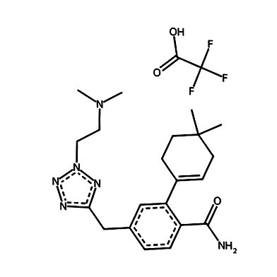 CN(C)CCn1nnc(Cc2ccc(C(N)=O)c(C3=CCC(C)(C)CC3)c2)n1.O=C(O)C(F)(F)F